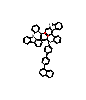 c1ccc(N(c2ccc(-c3ccc(-c4cccc5ccccc45)cc3)cc2)c2ccc(-c3ccccc3-n3c4ccccc4c4ccccc43)cc2)c(-c2cccc3oc4ccccc4c23)c1